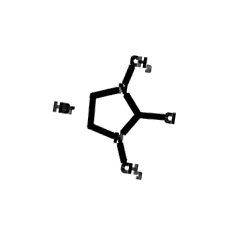 Br.CN1CCN(C)C1Cl